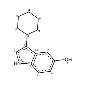 Oc1ccc2[nH]cc(C3CCCCC3)c2c1